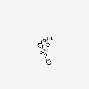 C=CC1CC[C@@H]1c1c(CC)cccc1C(=O)C(=O)OCc1ccccc1